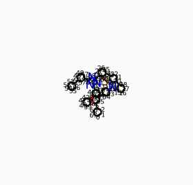 c1ccc(-c2cccc(-c3ccc(-n4c5ccccc5c5ccc6c7cccc(-c8nc(-c9cccc(-c%10ccccc%10)c9)nc(-c9cccc(-c%10ccccc%10)c9)n8)c7sc6c54)cc3)c2)cc1